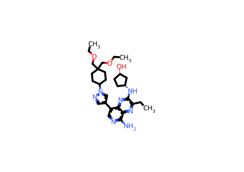 CCOCC1(COCC)CCC(n2cc(-c3cnc(N)c4nc(CC)c(N[C@@H]5CC[C@H](O)C5)nc34)cn2)CC1